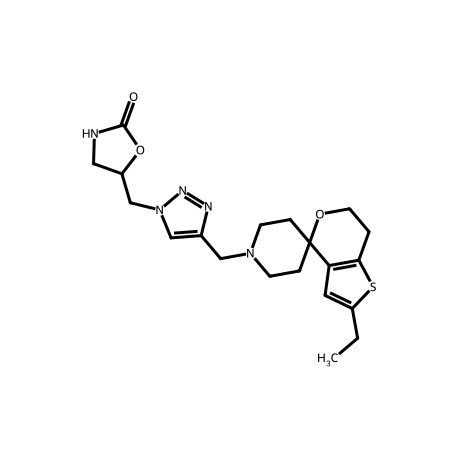 CCc1cc2c(s1)CCOC21CCN(Cc2cn(CC3CNC(=O)O3)nn2)CC1